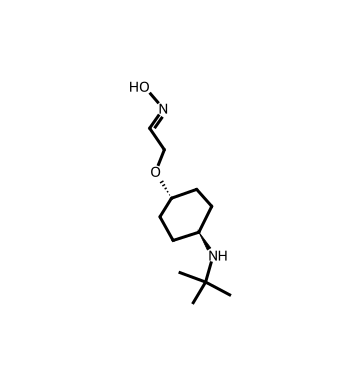 CC(C)(C)N[C@H]1CC[C@H](OC/C=N/O)CC1